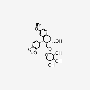 CC(C)Oc1ccc2c(c1)[C@@H](c1ccc3c(c1)OCO3)[C@H](CO[C@@H]1OC[C@@H](O)[C@H](O)[C@H]1O)[C@@H](CO)C2